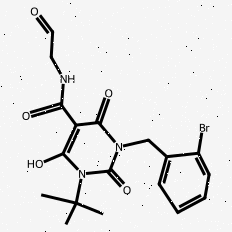 CC(C)(C)n1c(O)c(C(=O)NCC=O)c(=O)n(Cc2ccccc2Br)c1=O